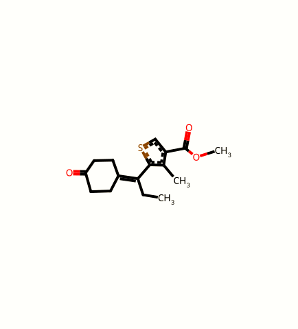 CCC(=C1CCC(=O)CC1)c1scc(C(=O)OC)c1C